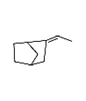 C/C=C1\CC2CCC1C2